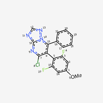 COc1cc(F)c(-c2c(Cl)nc3ncnn3c2-c2ccccc2)c(F)c1